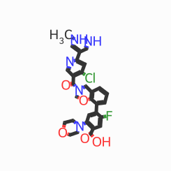 CN/C=C(\C=N)c1cc(Cl)c(C(=O)N2COc3c(cccc3-c3cc(N4CCOCC4)c(C(=O)O)cc3F)C2)cn1